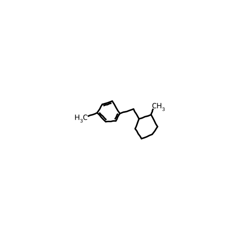 Cc1ccc(CC2CCCCC2C)cc1